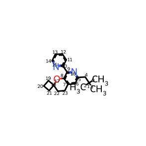 CC(C)(C)Cc1cc2c(c(-c3ccccn3)n1)OC1(CCC1)CC2